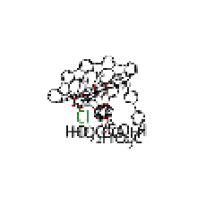 O=C(O)Cc1ccc(-c2ccc([C@@]34C5=C6C7(Cl)C8=C5[C@@]5(c9ccc(-c%10ccc(CC(=O)O)cc%10)cc9)c9c%10ccc(c93)-c3ccc9c(c34)[C@]6(c3ccc(-c4ccc(CC(=O)O)cc4)cc3)c3c-9ccc4c3[C@]7(c3ccc(-c6ccc(CC(=O)O)cc6)cc3)c3c-4ccc4c3[C@]8(c3ccc(-c6ccc(CC(=O)O)cc6)cc3)c3c-4ccc-%10c35)cc2)cc1